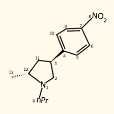 CCCN1C[C@H](c2ccc([N+](=O)[O-])cc2)C[C@H]1C